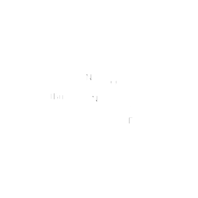 CC1(F)CC(Oc2ncc(C(C)(C)C)cn2)C1